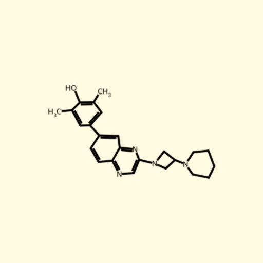 Cc1cc(-c2ccc3ncc(N4CC(N5CCCCC5)C4)nc3c2)cc(C)c1O